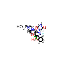 C[C@H]1C(=O)N(C)CCN1c1nc(-c2c(O)cccc2F)c(Cl)c2c1C(=O)N1CCN(C(=O)O)C[C@@H]1CO2